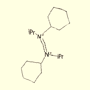 CC(C)[N+](=C=[N+](C(C)C)C1CCCCC1)C1CCCCC1